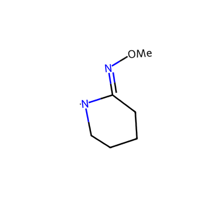 CO/N=C1\CCCC[N]1